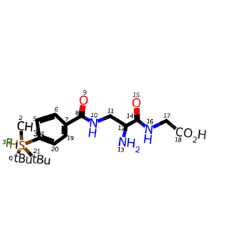 CC(C)(C)[SH](C)(F)(c1ccc(C(=O)NCC(N)C(=O)NCC(=O)O)cc1)C(C)(C)C